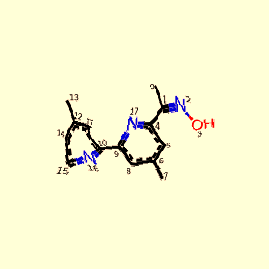 C/C(=N/O)c1cc(C)cc(-c2cc(C)ccn2)n1